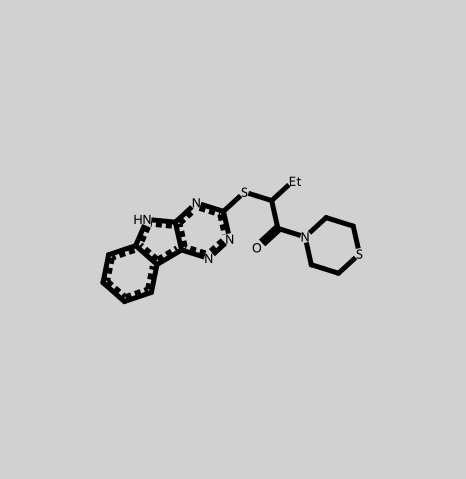 CCC(Sc1nnc2c(n1)[nH]c1ccccc12)C(=O)N1CCSCC1